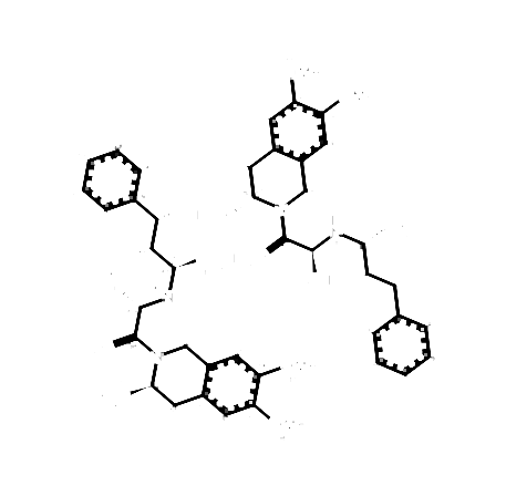 CCOC(=O)[C@H](CCc1ccccc1)N[C@@H](C)C(=O)N1Cc2cc(OC)c(OC)cc2C[C@H]1C(=O)O.COc1cc2c(cc1OC)CN(C(=O)[C@H](C)N[C@@H](CCc1ccccc1)C(=O)O)[C@H](C(=O)O)C2